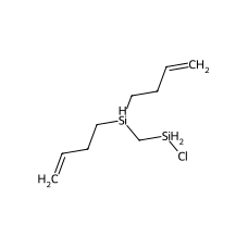 C=CCC[SiH](CCC=C)C[SiH2]Cl